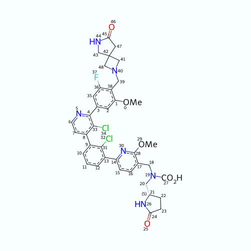 COc1cc(-c2nccc(-c3cccc(-c4ccc(CN(C[C@@H]5CCC(=O)N5)C(=O)O)c(OC)n4)c3Cl)c2Cl)cc(F)c1CN1CC2(CNC(=O)C2)C1